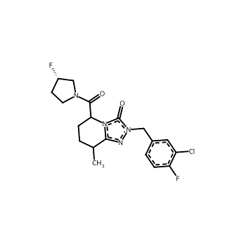 CC1CCC(C(=O)N2CC[C@H](F)C2)n2c1nn(Cc1ccc(F)c(Cl)c1)c2=O